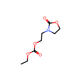 CCOC(=O)OCCN1CCOC1=O